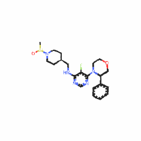 C[S+]([O-])N1CCC(CNc2ncnc(N3CCOCC3c3ccccc3)c2F)CC1